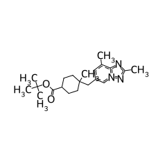 Cc1nc2c(C)cc(CC3(C)CCC(C(=O)OC(C)(C)C)CC3)cn2n1